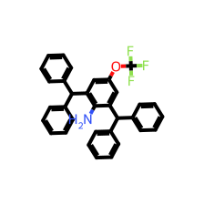 Nc1c(C(c2ccccc2)c2ccccc2)cc(OC(F)(F)F)cc1C(c1ccccc1)c1ccccc1